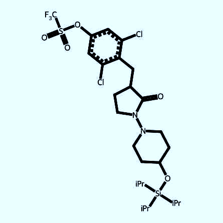 CC(C)[Si](OC1CCN(N2CCC(Cc3c(Cl)cc(OS(=O)(=O)C(F)(F)F)cc3Cl)C2=O)CC1)(C(C)C)C(C)C